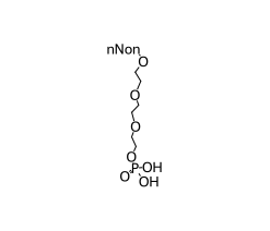 CCCCCCCCCOCCOCCOCCOP(=O)(O)O